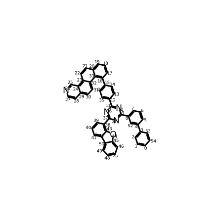 c1ccc(-c2cccc(-c3nc(-c4ccc(-c5cccc6ccc7c8cnccc8ccc7c56)cc4)nc(-c4cccc5c4oc4ccccc45)n3)c2)cc1